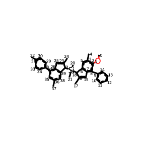 COc1c(C)cc2c(c1-c1ccccc1)C=C(C)C2[Si](C)(C)C1C(C)=Cc2c(-c3ccc(C)cc3)cc(C)cc21